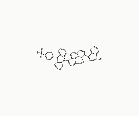 Fc1ccc(-c2ccc3ccc4c(-c5c6ccccc6c(-c6ccc(C(F)(F)F)cc6)c6ccccc56)ccc5ccc2c3c54)c2ccccc12